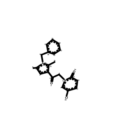 Cc1cc(C(=O)Cn2cc(Cl)ccc2=O)c(C)n1Cc1ccccc1